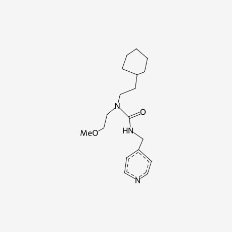 COCCN(CCC1CCCCC1)C(=O)NCc1ccncc1